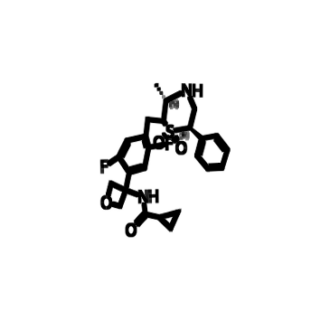 C[C@@H]1NC[C@@H](c2ccccc2)S(=O)(=O)C1Cc1cc(F)c(C2(NC(=O)C3CC3)COC2)cc1F